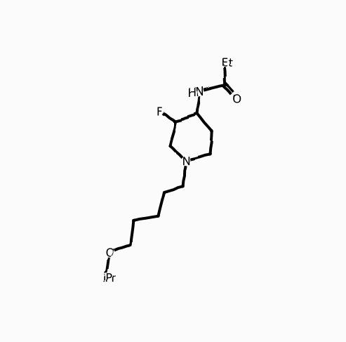 CCC(=O)NC1CCN(CCCCCOC(C)C)CC1F